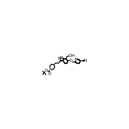 CC(C)(C)OC(=O)N1CCC(CCc2noc3c(CO)c(OCc4ccc(C#N)cn4)ccc23)CC1